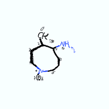 CC1CCN(C(C)(C)C)CCC1N